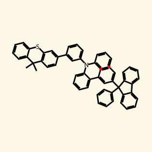 CC1(C)c2ccccc2Sc2cc(-c3cccc(N(c4ccccc4)c4ccccc4-c4cccc(C5(c6ccccc6)c6ccccc6-c6ccccc65)c4)c3)ccc21